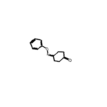 O=C1CCC(=NOc2ccccc2)CC1